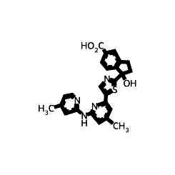 Cc1ccnc(Nc2cc(C)cc(-c3cnc(C4(O)CCc5cc(C(=O)O)ccc54)s3)n2)c1